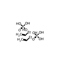 C=CCC.C=CCC.O=P(O)(O)O.O=P(O)(O)O